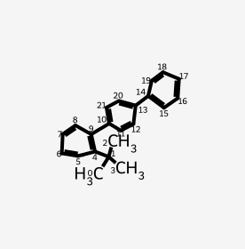 CC(C)(C)c1[c]cccc1-c1ccc(-c2ccccc2)cc1